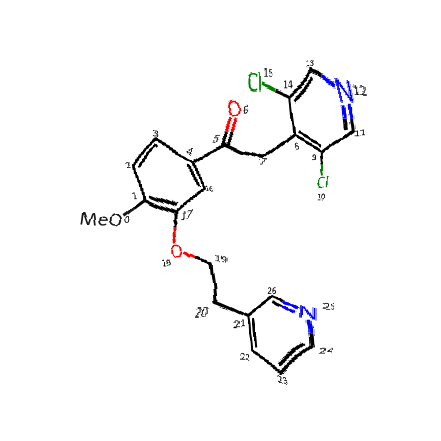 COc1ccc(C(=O)Cc2c(Cl)cncc2Cl)cc1OCCc1cccnc1